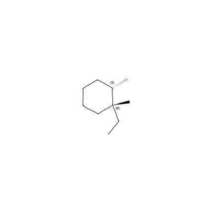 CC[C@]1(C)CCCC[C@@H]1C